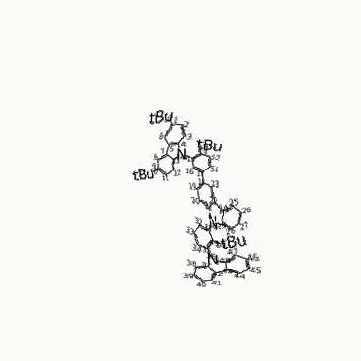 CC(C)(C)c1ccc2c(c1)c1cc(C(C)(C)C)ccc1n2-c1cc(-c2ccc3c(c2)c2ccccc2n3-c2cccc(-n3c4ccccc4c4ccccc43)c2C(C)(C)C)ccc1C(C)(C)C